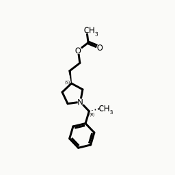 CC(=O)OCC[C@@H]1CCN([C@H](C)c2ccccc2)C1